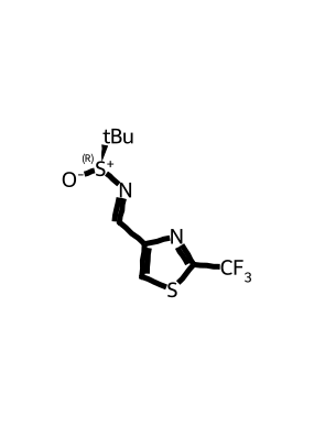 CC(C)(C)[S@+]([O-])N=Cc1csc(C(F)(F)F)n1